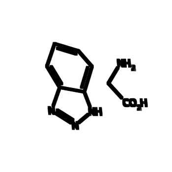 NCC(=O)O.c1ccc2[nH]nnc2c1